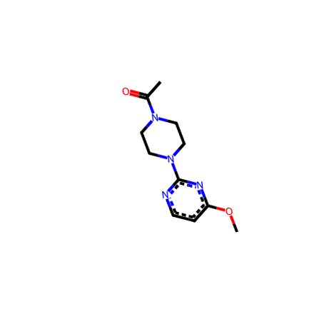 COc1ccnc(N2CCN(C(C)=O)CC2)n1